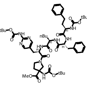 CCCC[C@@H](NC(=O)[C@@H](Cc1ccccc1)NC(=O)[C@@H](CCc1ccccc1)NC(=O)OC(C)(C)C)C(=O)N[C@H](Cc1cnc(NC(=O)OC(C)(C)C)nc1)C(=O)N1CCC(NC(=O)OC(C)(C)C)(C(=O)OC)C1